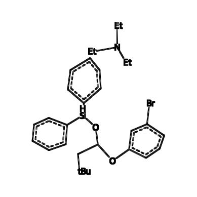 CC(C)(C)CC(Oc1cccc(Br)c1)O[SiH](c1ccccc1)c1ccccc1.CCN(CC)CC